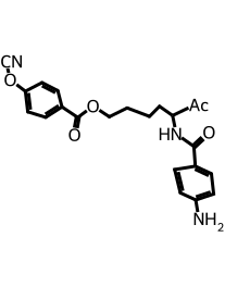 CC(=O)C(CCCCOC(=O)c1ccc(OC#N)cc1)NC(=O)c1ccc(N)cc1